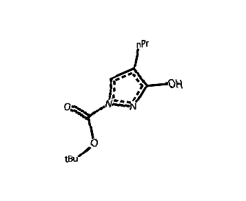 CCCc1cn(C(=O)OC(C)(C)C)nc1O